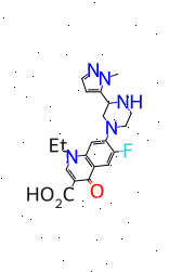 CCn1cc(C(=O)O)c(=O)c2cc(F)c(N3CCNC(c4ccnn4C)C3)cc21